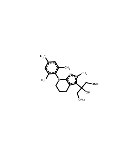 COCC(O)(COC)c1c2c(nn1C)N(c1c(C)cc(C)cc1C)CCC2